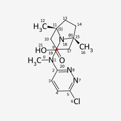 CN(c1ccc(Cl)nn1)C1C[C@]2(C)CC[C@](C)(C1)N2C(=O)O